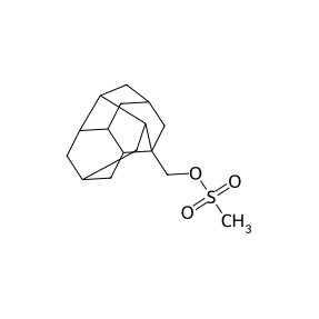 CS(=O)(=O)OCC12CC3CC4C5CC(CC41)CC2C5C3